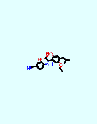 CCOc1cc(C(Nc2ccc(C#N)cc2)C(=O)O)c(O)cc1CC(C)C